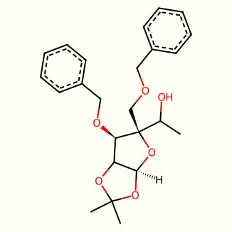 CC(O)[C@]1(COCc2ccccc2)O[C@H]2OC(C)(C)OC2[C@H]1OCc1ccccc1